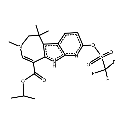 CC(C)OC(=O)C1=CN(C)CC(C)(C)c2c1[nH]c1nc(OS(=O)(=O)C(F)(F)F)ccc21